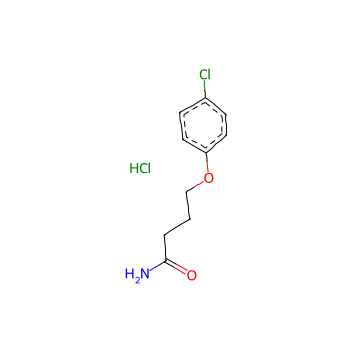 Cl.NC(=O)CCCOc1ccc(Cl)cc1